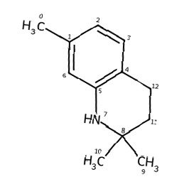 Cc1ccc2c(c1)NC(C)(C)CC2